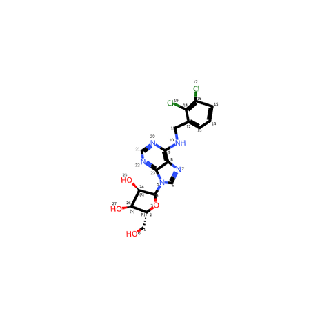 OC[C@H]1OC(n2cnc3c(NCc4cccc(Cl)c4Cl)ncnc32)[C@H](O)[C@@H]1O